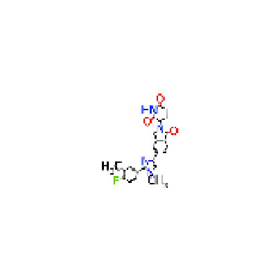 Cc1cc(-c2nc(-c3ccc4c(c3)CN(C3CCC(=O)NC3=O)C4=O)cn2C)ccc1F